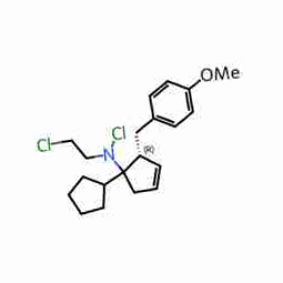 COc1ccc(C[C@@H]2C=CCC2(C2CCCC2)N(Cl)CCCl)cc1